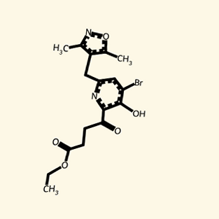 CCOC(=O)CCC(=O)c1nc(Cc2c(C)noc2C)cc(Br)c1O